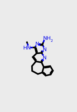 CNc1nc(N)nc2nc3c(cc12)CCCc1ccccc1-3